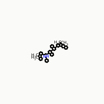 CC1(C)c2ccc(-c3ccc(-c4ccc(-c5cc(-c6cccc7c6-c6ccccc6C7(C)C)nc(-c6ccccc6)n5)c5ccccc45)c4ccccc34)cc2-c2cc3ccccc3cc21